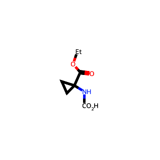 CCOC(=O)C1(NC(=O)O)CC1